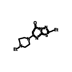 CCc1nn2c(=O)cc(N3CCN(CC)CC3)nc2s1